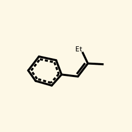 CC/C(C)=C\c1ccccc1